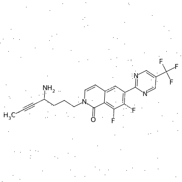 CC#CC(N)CCCn1ccc2cc(-c3ncc(C(F)(F)F)cn3)c(F)c(F)c2c1=O